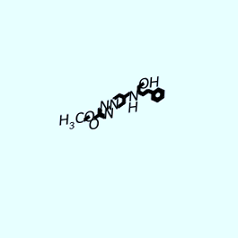 CCOC(=O)c1cnc(N2CCC(CNC(/C=C/c3ccccc3)CO)CC2)nc1